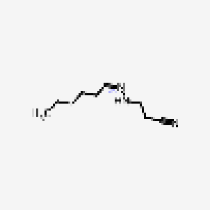 CCCCC/C=N\NCCC#N